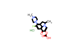 CC1Cc2c(N3CCN(C)CC3)c(F)cc3c(=O)c(OC(=O)O)cn1c23.Cl